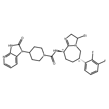 CCC1CN=C2[C@H](NC(=O)N3CCC(n4c(=O)[nH]c5ncccc54)CC3)CC[C@@H](c3cccc(F)c3F)CN21